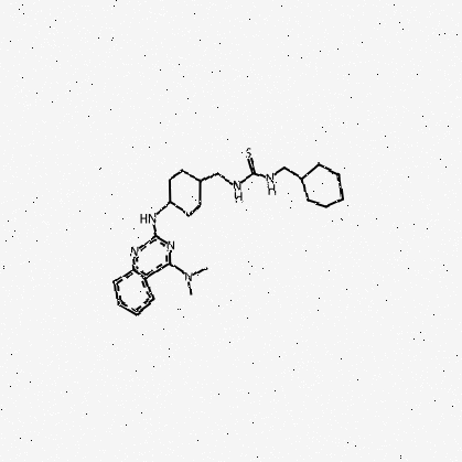 CN(C)c1nc(NC2CCC(CNC(=S)NCC3CCCCC3)CC2)nc2ccccc12